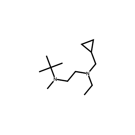 CCN(CCN(C)C(C)(C)C)CC1CC1